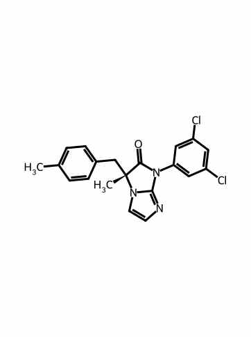 Cc1ccc(C[C@]2(C)C(=O)N(c3cc(Cl)cc(Cl)c3)c3nccn32)cc1